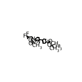 CN1c2nc(C3=CCN(C(=O)OC(C)(C)C)CC3)ccc2N(CC2CC2(F)F)S1(=O)=O